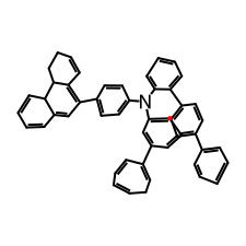 C1=CCC=C(c2cccc(N(c3ccc(C4=C5C=CCCC5C5C=CC=CC5=C4)cc3)c3ccccc3-c3ccc(-c4ccccc4)cc3)c2)C=C1